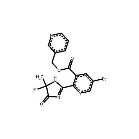 CCc1cnc(C2=NC(=O)C(C)(C(C)C)N2)c(C(=O)OCc2cccnc2)c1